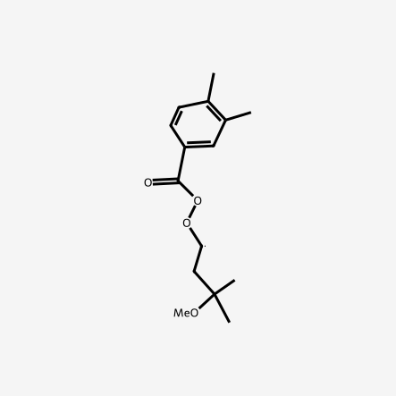 COC(C)(C)C[CH]OOC(=O)c1ccc(C)c(C)c1